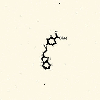 COC(=O)c1ccc(OCCc2cc3ccccc3[nH]2)cc1